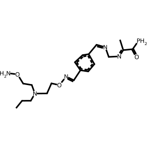 CCCN(CCON)CCO/N=C/c1ccc(/C=N\C/N=C(\C)C(=O)P)cc1